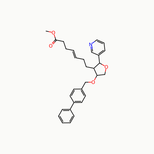 COC(=O)CCC=CCCC1C(OCc2ccc(-c3ccccc3)cc2)COC1c1cccnc1